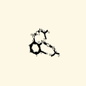 Cc1cccc(N=C=NC(C)C)c1N=C=NC(C)C